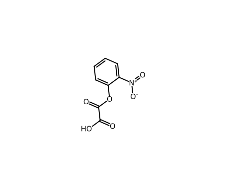 O=C(O)C(=O)Oc1ccccc1[N+](=O)[O-]